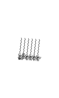 CCCCCCCCCCCCO[PH](=O)[O-].CCCCCCCCCCCCO[PH](=O)[O-].CCCCCCCCCCCCO[PH](=O)[O-].CCCCCCCCCCCCO[PH](=O)[O-].CCCCCCCCCCCCO[PH](=O)[O-].CCCCCCCCCCCCO[PH](=O)[O-].[Mo+6]